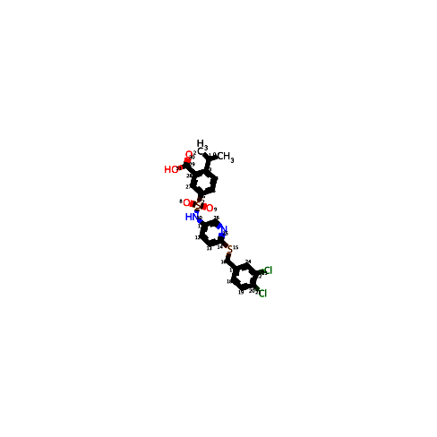 CC(C)c1ccc(S(=O)(=O)Nc2ccc(SCc3ccc(Cl)c(Cl)c3)nc2)cc1C(=O)O